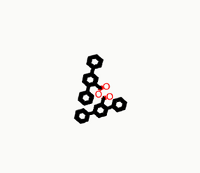 O=C(OC(=O)c1cc(-c2ccccc2)ccc1-c1ccccc1)c1cc(-c2ccccc2)ccc1-c1ccccc1